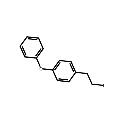 ICCc1ccc(Oc2ccccc2)cc1